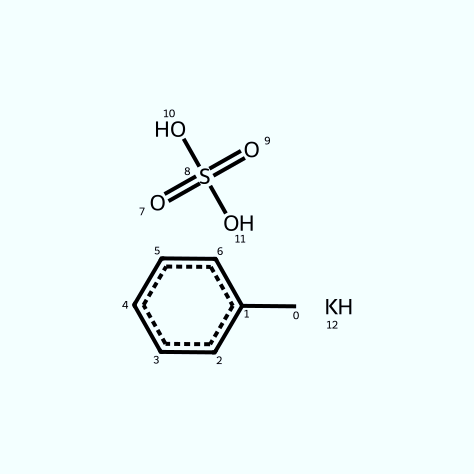 Cc1ccccc1.O=S(=O)(O)O.[KH]